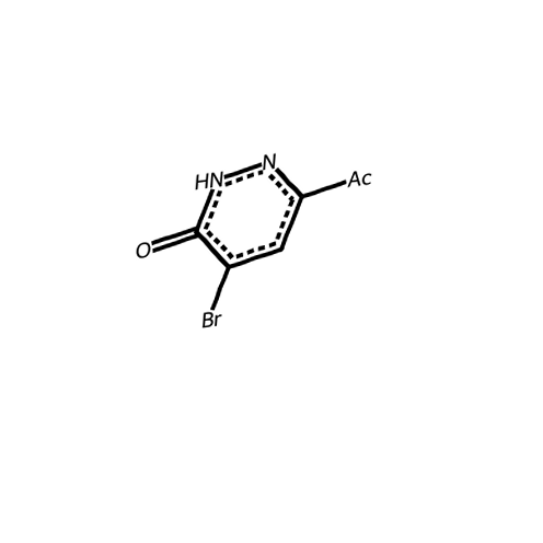 CC(=O)c1cc(Br)c(=O)[nH]n1